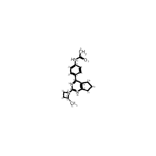 CC(=O)Nc1ccc(-c2nc(N3CC[C@@H]3C)nc3c2CCC3)cc1